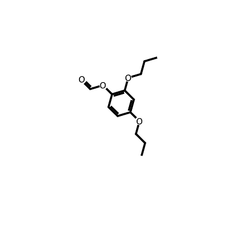 CCCOc1ccc(OC=O)c(OCCC)c1